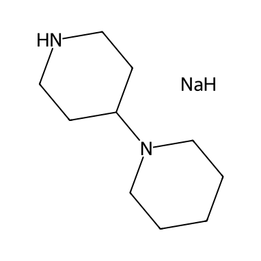 C1CCN(C2CCNCC2)CC1.[NaH]